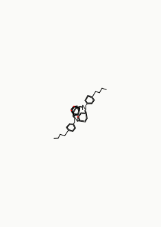 CCCCc1ccc(-n2c3ccc(cc3)n(-c3ccc(CCCC)cc3)c3ccc2c2c4ccc(cc4)c23)cc1